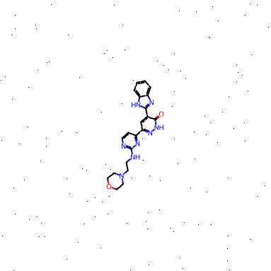 O=c1[nH]nc(-c2ccnc(NCCN3CCOCC3)n2)cc1-c1nc2ccccc2[nH]1